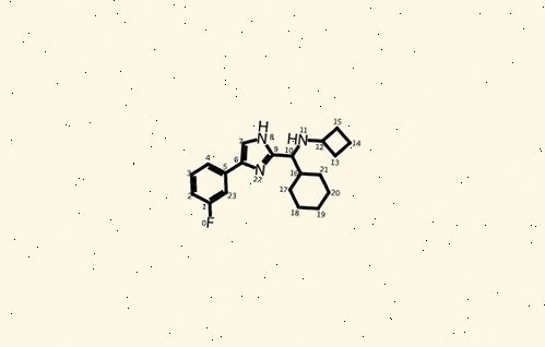 Fc1cccc(-c2c[nH]c(C(NC3CCC3)C3CCCCC3)n2)c1